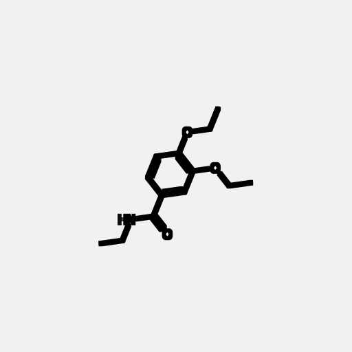 CCNC(=O)c1ccc(OCC)c(OCC)c1